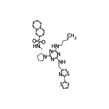 C=CCCNc1nc(NCc2csc(-c3cccs3)n2)nc(N2CCC[C@@H]2CNS(=O)(=O)c2ccc3ccccc3c2)n1